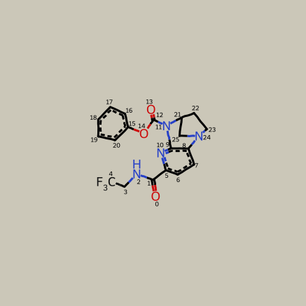 O=C(NCC(F)(F)F)c1ccc2c(n1)N(C(=O)Oc1ccccc1)C1CCN2C1